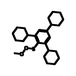 COOSc1c(C2CCCCC2)cc(C2CCCCC2)cc1C1CCCCC1